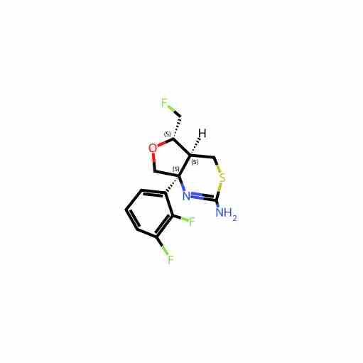 NC1=N[C@@]2(c3cccc(F)c3F)CO[C@H](CF)[C@H]2CS1